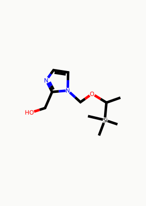 CC(OCn1ccnc1CO)[Si](C)(C)C